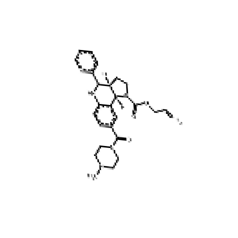 C=CCOC(=O)N1CC[C@H]2C(c3ccccn3)Nc3ccc(C(=O)N4CCN(C)CC4)cc3[C@H]21